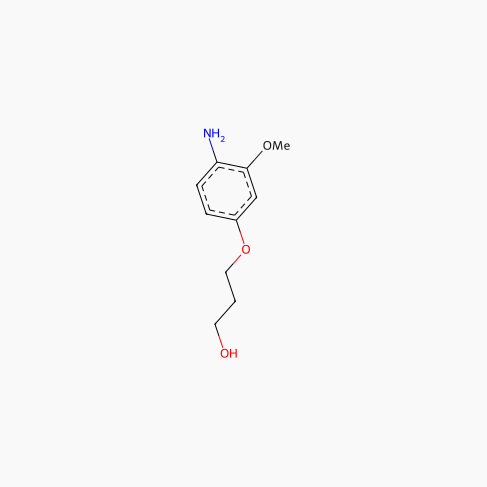 COc1cc(OCCCO)ccc1N